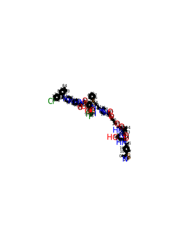 Cc1ncsc1-c1ccc([C@H](C)NC(=O)[C@@H]2C[C@@H](O)CN2C(=O)[C@@H](NC(=O)COCCCOCC(=O)N2CCN(CC[C@H](CSc3ccccc3)Nc3ccc(S(=O)(=O)NC(=O)c4ccc(N5CCN(CC6=C(c7ccc(Cl)cc7)CCC(C)(C)C6)CC5)cc4)cc3S(=O)(=O)C(F)(F)F)CC2)C(C)(C)C)cc1